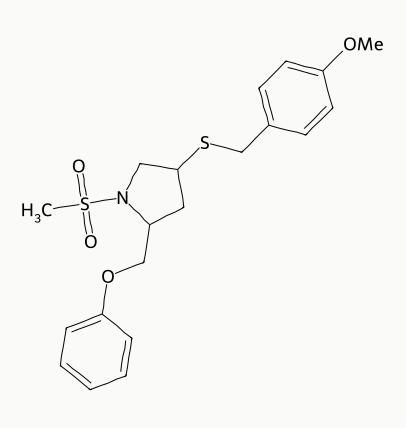 COc1ccc(CSC2CC(COc3ccccc3)N(S(C)(=O)=O)C2)cc1